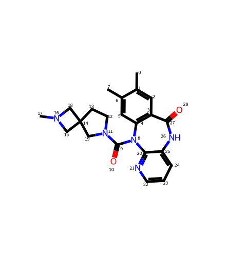 Cc1cc2c(cc1C)N(C(=O)N1CCC3(CN(C)C3)C1)c1ncccc1NC2=O